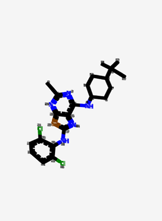 Cc1nc(NC2CCC(C(C)(C)C)CC2)c2nc(Nc3c(Cl)cccc3Cl)sc2n1